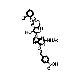 CC(=O)Nc1nc(OCCc2ccc(N(O)O)cc2)c2ncn([C@@H]3O[C@@H]4COP(=S)(Oc5ccccc5Cl)OC4C3O)c2n1